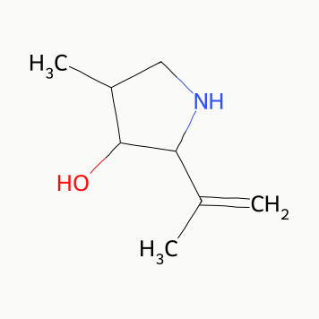 C=C(C)C1NCC(C)C1O